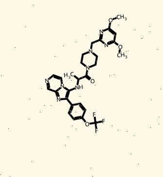 COc1cc(OC)nc(CN2CCN(C(=O)C(C)Nc3c(-c4ccc(OC(F)(F)F)cc4)nc4cnccn34)CC2)n1